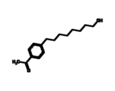 CC(=O)c1ccc(CCCCCCCCO)cc1